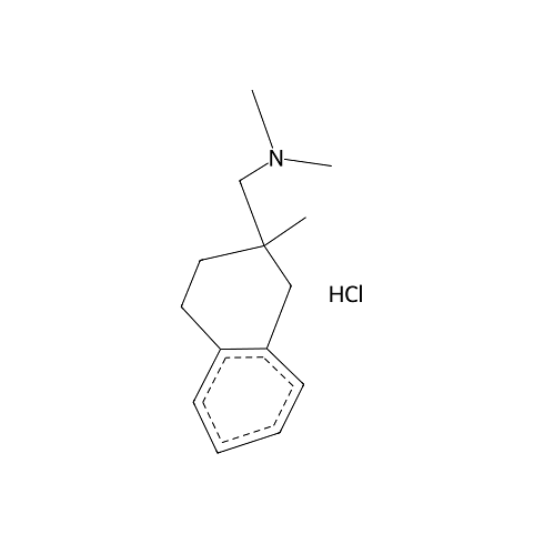 CN(C)CC1(C)CCc2ccccc2C1.Cl